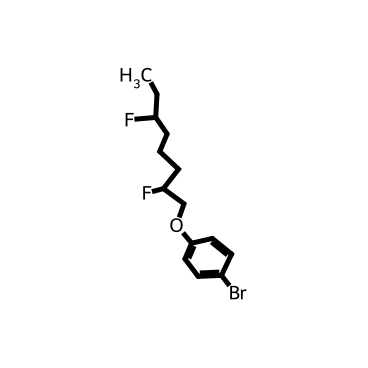 CCC(F)CCCC(F)COc1ccc(Br)cc1